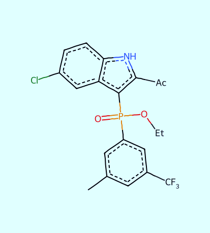 CCOP(=O)(c1cc(C)cc(C(F)(F)F)c1)c1c(C(C)=O)[nH]c2ccc(Cl)cc12